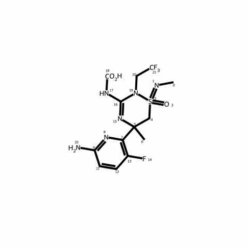 CN=S1(=O)CC(C)(c2nc(N)ccc2F)N=C(NC(=O)O)N1CC(F)(F)F